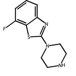 Fc1cccc2nc(N3CCNCC3)sc12